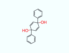 OC1(c2ccccc2)C=CC(O)(c2ccccc2)C=C1